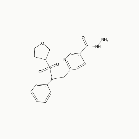 NNC(=O)c1ccc(CN(c2ccccc2)S(=O)(=O)C2CCOC2)nc1